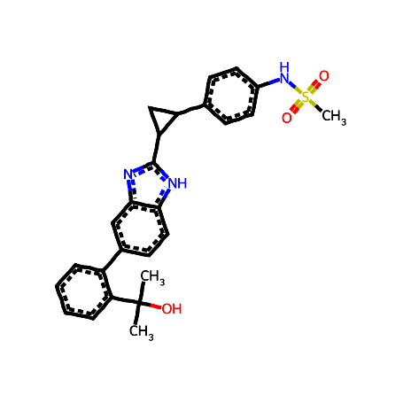 CC(C)(O)c1ccccc1-c1ccc2[nH]c(C3CC3c3ccc(NS(C)(=O)=O)cc3)nc2c1